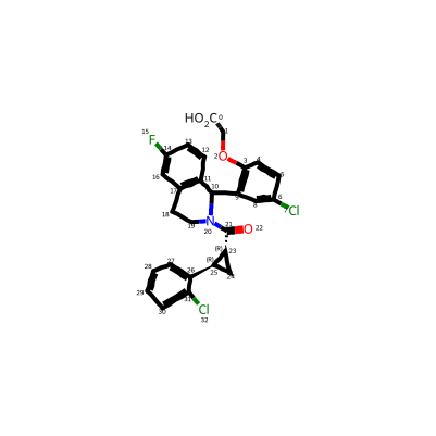 O=C(O)COc1ccc(Cl)cc1C1c2ccc(F)cc2CCN1C(=O)[C@@H]1C[C@H]1c1ccccc1Cl